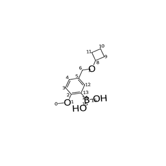 COc1ccc(COC2CCC2)cc1B(O)O